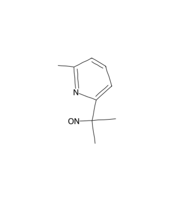 Cc1cccc(C(C)(C)N=O)n1